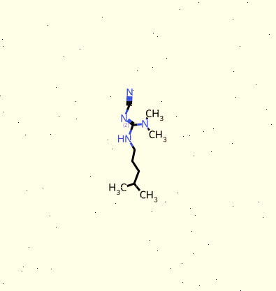 CC(C)CCCN/C(=N/C#N)N(C)C